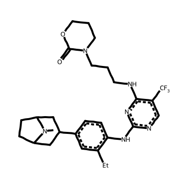 CCc1cc(C2CC3CCC(C2)N3C)ccc1Nc1ncc(C(F)(F)F)c(NCCCN2CCCOC2=O)n1